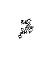 CCC[C@H](NC(=O)[C@@H]1C[C@@H]2CCCC[C@@H]2N1C(=O)[C@@H](NC(=O)[C@@H](NC(=O)c1cnccn1)C1CCCCC1)C(C)(C)C)C(=O)C(=O)NOc1ccccc1